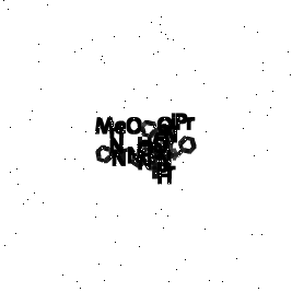 COc1ccc(S(=O)(=O)N(CC(C)C)C[C@@H](O)[C@H](Cc2ccccc2)NC(=O)[C@H](C(C)C)N2CCN(CC3Nc4ccccc4N3C)C2=O)cc1